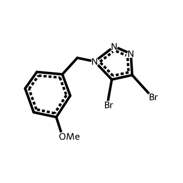 COc1cccc(Cn2nnc(Br)c2Br)c1